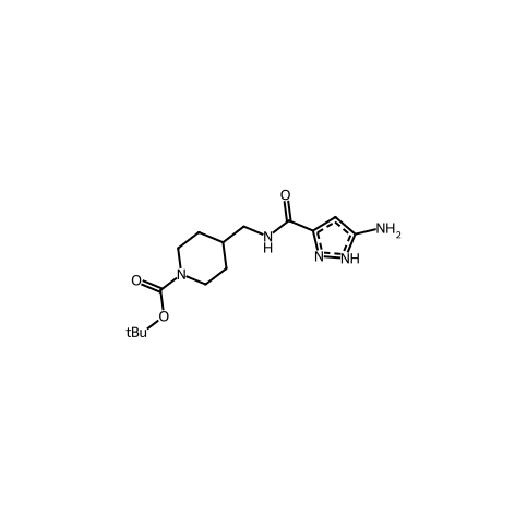 CC(C)(C)OC(=O)N1CCC(CNC(=O)c2cc(N)[nH]n2)CC1